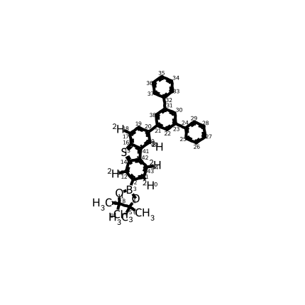 [2H]c1c(B2OC(C)(C)C(C)(C)O2)c([2H])c2sc3c([2H])cc(-c4cc(-c5ccccc5)cc(-c5ccccc5)c4)c([2H])c3c2c1[2H]